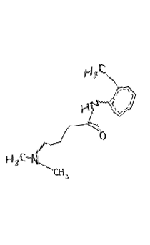 Cc1ccccc1NC(=O)CCCN(C)C